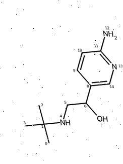 CC(C)(C)NCC(O)c1ccc(N)nc1